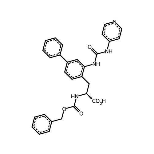 O=C(Nc1ccncc1)Nc1cc(-c2ccccc2)ccc1C[C@H](NC(=O)OCc1ccccc1)C(=O)O